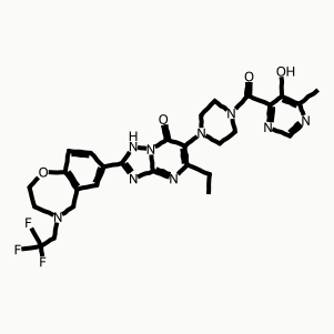 CCc1nc2nc(-c3ccc4c(c3)CN(CC(F)(F)F)CCO4)[nH]n2c(=O)c1N1CCN(C(=O)c2ncnc(C)c2O)CC1